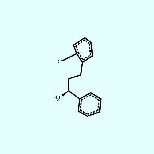 [CH2][C@@H](CCc1ccccc1Cl)c1ccccc1